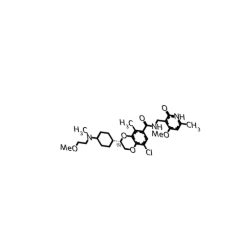 COCCN(C)C1CCC([C@H]2COc3c(Cl)cc(C(=O)NCc4c(OC)cc(C)[nH]c4=O)c(C)c3O2)CC1